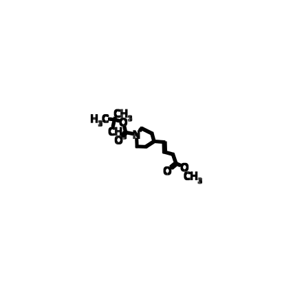 COC(=O)CC=CC1CCN(C(=O)OC(C)(C)C)CC1